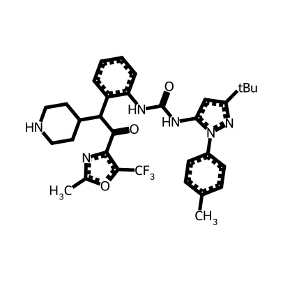 Cc1ccc(-n2nc(C(C)(C)C)cc2NC(=O)Nc2ccccc2C(C(=O)c2nc(C)oc2C(F)(F)F)C2CCNCC2)cc1